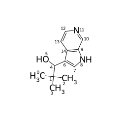 CC(C)(C)C(O)c1c[nH]c2cnccc12